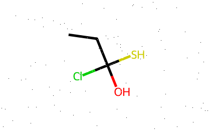 CCC(O)(S)Cl